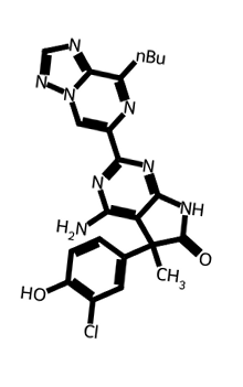 CCCCc1nc(-c2nc(N)c3c(n2)NC(=O)C3(C)c2ccc(O)c(Cl)c2)cn2ncnc12